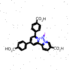 O=C(O)c1ccc(-c2cc(-c3ccc(C(=O)O)cc3)[n+]3c(c2)c2ccc(C(=O)O)c[n+]2n3I)cc1